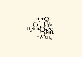 CC(C)N1NN(C(C)C)c2c(NCc3ccccc3N)nc(NC3CCCCC3N)nc21